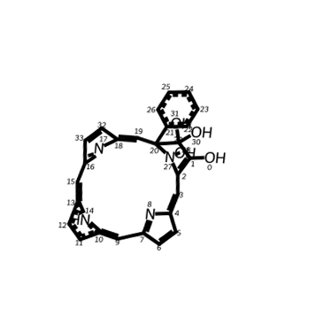 OC1=C2C=C3C=CC(=N3)C=c3ccc([nH]3)=CC3=NC(=CC(c4ccccc4)(N2O)C1(O)O)C=C3